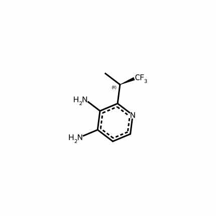 C[C@H](c1nccc(N)c1N)C(F)(F)F